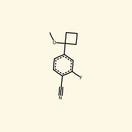 COC1(c2ccc(C#N)c(F)c2)CCC1